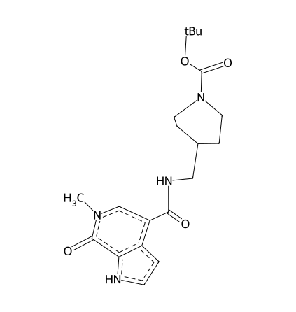 Cn1cc(C(=O)NCC2CCN(C(=O)OC(C)(C)C)CC2)c2cc[nH]c2c1=O